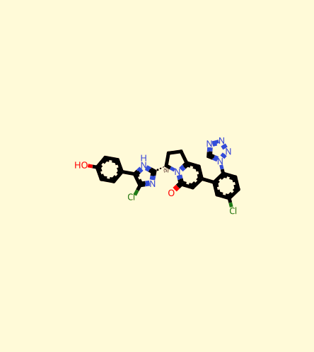 O=c1cc(-c2cc(Cl)ccc2-n2cnnn2)cc2n1[C@H](c1nc(Cl)c(-c3ccc(O)cc3)[nH]1)CC2